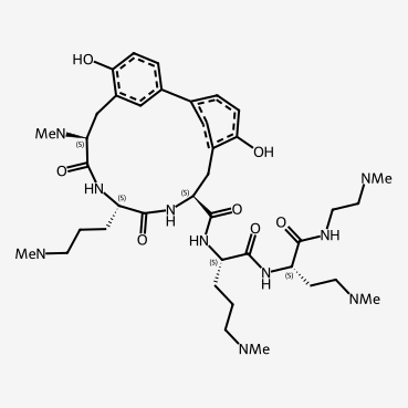 CNCCC[C@@H]1NC(=O)[C@@H](NC)Cc2cc(ccc2O)-c2ccc(O)c(c2)C[C@@H](C(=O)N[C@@H](CCCNC)C(=O)N[C@@H](CCNC)C(=O)NCCNC)NC1=O